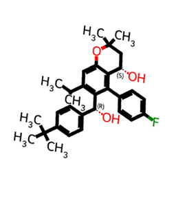 CC(C)c1cc2c(c(-c3ccc(F)cc3)c1[C@H](O)c1ccc(C(C)(C)C)cc1)[C@@H](O)CC(C)(C)O2